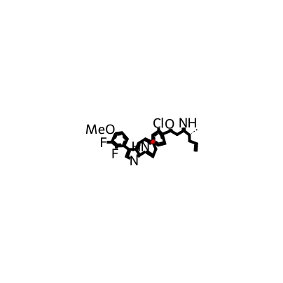 C=CC[C@@H](C)C(=N)CC(=O)c1ccc(N/C2=C\C/C=C\C=C3\C(c4ccc(OC)c(F)c4F)=CN=C23)cc1Cl